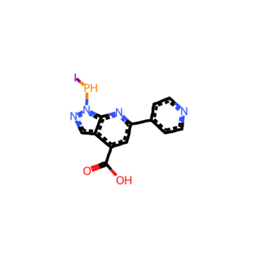 O=C(O)c1cc(-c2ccncc2)nc2c1cnn2PI